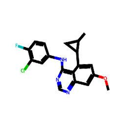 COc1cc(C2CC2C)c2c(Nc3ccc(F)c(Cl)c3)ncnc2c1